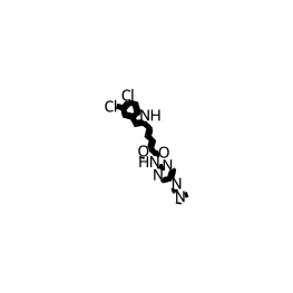 CO/C(=C\C=C\c1cc2cc(Cl)c(Cl)cc2[nH]1)C(=O)Nc1ncc(/N=C/N(C)C)cn1